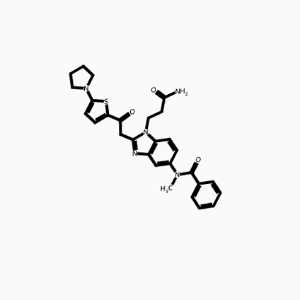 CN(C(=O)c1ccccc1)c1ccc2c(c1)nc(CC(=O)c1ccc(N3CCCC3)s1)n2CCC(N)=O